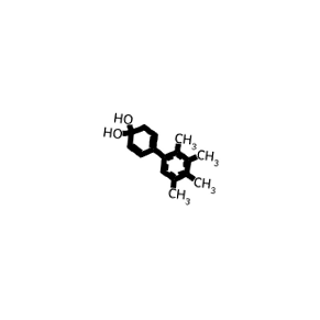 Cc1cc(C2=CCC(O)(O)C=C2)c(C)c(C)c1C